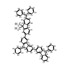 CC1(C)c2cc(-c3ccc4c(c3)c3cc(-c5ccc6c(c5)c5ccccc5n6-c5ccccc5)ccc3n4-c3ccccc3)ccc2-c2ccc(N(c3ccccc3)c3ccccc3)cc21